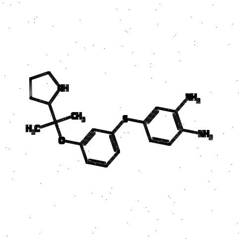 CC(C)(Oc1cccc(Sc2ccc(N)c(N)c2)c1)C1CCCN1